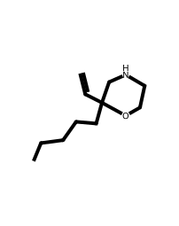 C=CC1(CCCCC)CNCCO1